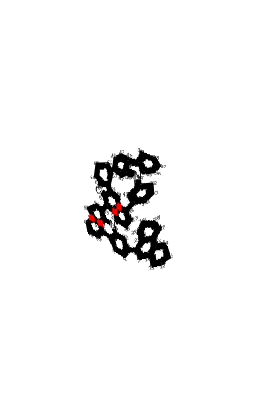 c1ccc(-c2ccc(-c3cc4ccccc4c4ccccc34)cc2N(c2ccc(-c3cccc(-n4c5ccccc5c5ccccc54)c3)cc2)c2ccccc2-c2cccc3c2oc2ccccc23)cc1